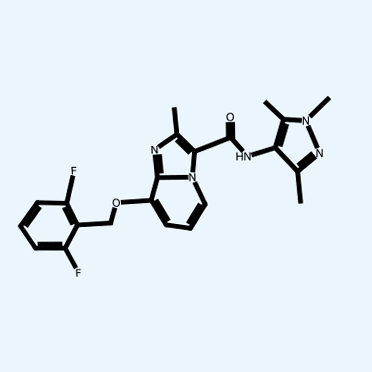 Cc1nn(C)c(C)c1NC(=O)c1c(C)nc2c(OCc3c(F)cccc3F)cccn12